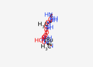 Cc1ncsc1-c1ccc(CNC(=O)C[C@@H]2C[C@@H](O)CN2C(=O)[C@@H](NC(=O)COCCOCCOCCNC(=O)CC(C)C(=O)Nc2ccc(NC(=O)Nc3ccc4[nH]ccc4c3)cc2)C(C)(C)C)cc1